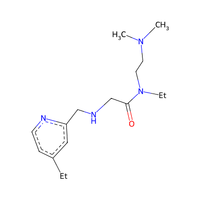 CCc1ccnc(CNCC(=O)N(CC)CCN(C)C)c1